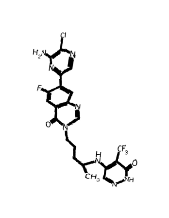 CC(CCCn1cnc2cc(-c3cnc(Cl)c(N)n3)c(F)cc2c1=O)Nc1cn[nH]c(=O)c1C(F)(F)F